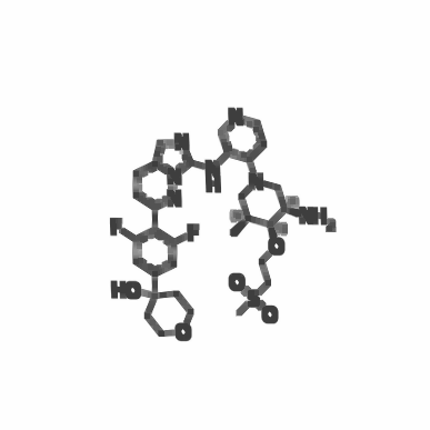 C[C@H]1CN(c2ccncc2Nc2ncc3ccc(-c4c(F)cc(C5(O)CCOCC5)cc4F)nn23)C[C@@H](N)[C@H]1OCCS(C)(=O)=O